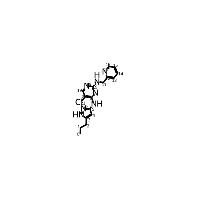 CCCc1cc(Nc2nc(NCc3ccccn3)ncc2Cl)n[nH]1